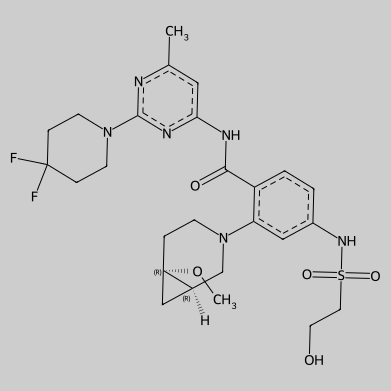 CO[C@]12CCN(c3cc(NS(=O)(=O)CCO)ccc3C(=O)Nc3cc(C)nc(N4CCC(F)(F)CC4)n3)C[C@H]1C2